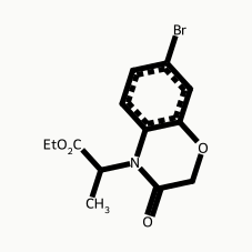 CCOC(=O)C(C)N1C(=O)COc2cc(Br)ccc21